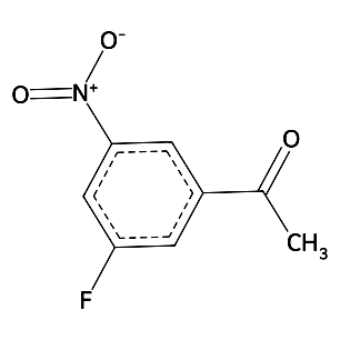 CC(=O)c1cc(F)cc([N+](=O)[O-])c1